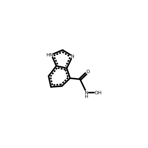 O=C(NO)c1cccc2[nH]cnc12